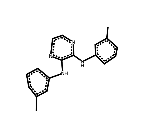 Cc1cccc(Nc2nccnc2Nc2cccc(C)c2)c1